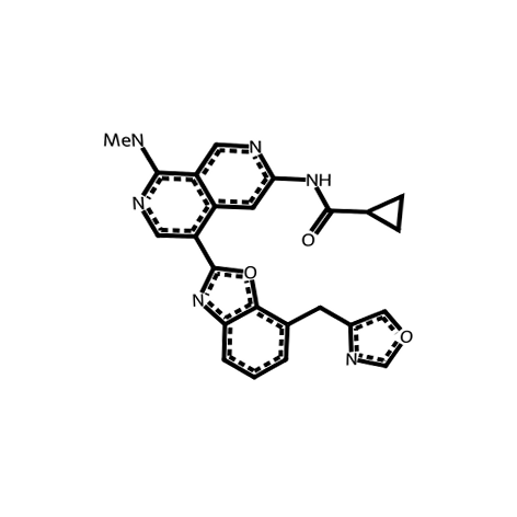 CNc1ncc(-c2nc3cccc(Cc4cocn4)c3o2)c2cc(NC(=O)C3CC3)ncc12